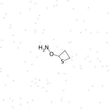 NOC1CCS1